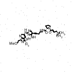 CCCNc1nc(Nc2cnc3c(c2)c(C)nn3CCOC)ncc1C#CCCCNC(=O)[C@@H]1CCCN1C(=O)/C=C/CN(C)C